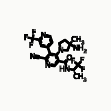 C[C@H](NC(=O)c1cnc(C#N)c(-c2ccnc(C(F)(F)F)c2)c1N1CC[C@](C)(N)C1)C(F)(F)F